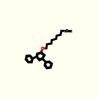 CCCCCCCCCCCCCCCCCCOc1cc(-c2ccccc2)[c]c(-c2ccccc2)c1